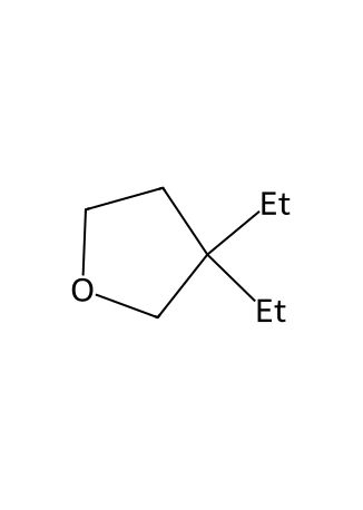 CCC1(CC)CCOC1